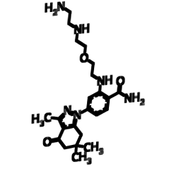 Cc1nn(-c2ccc(C(N)=O)c(NCCOCCNCCN)c2)c2c1C(=O)CC(C)(C)C2